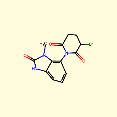 Cn1c(=O)[nH]c2cccc(N3C(=O)CCC(Br)C3=O)c21